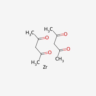 CC(=O)CC(C)=O.CC(=O)CC(C)=O.[Zr]